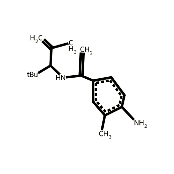 C=C(NC(C(=C)C)C(C)(C)C)c1ccc(N)c(C)c1